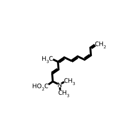 C=C\C=C/C=C/C=C(C)\C=C\C(C(=O)O)N(C)C